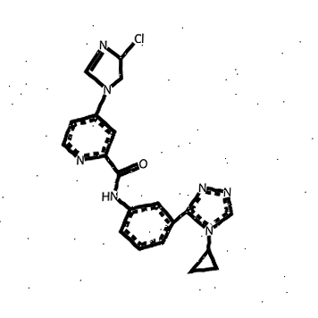 O=C(Nc1cccc(-c2nncn2C2CC2)c1)c1cc(N2C=NC(Cl)C2)ccn1